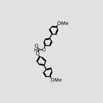 COc1ccc(-c2ccc(O[PH](=O)Oc3ccc(-c4ccc(OC)cc4)cc3)cc2)cc1